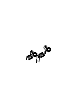 COc1ccccc1CCN1CCN(Nc2ccc(OC)c(N3CCN(C)CC3)c2)CC1